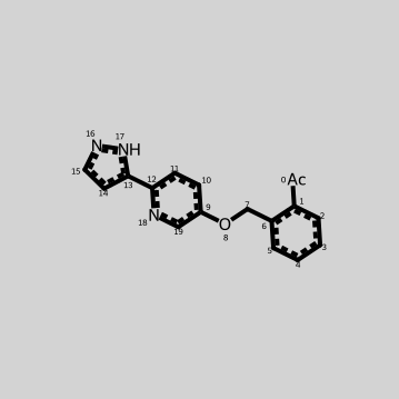 CC(=O)c1ccccc1COc1ccc(-c2ccn[nH]2)nc1